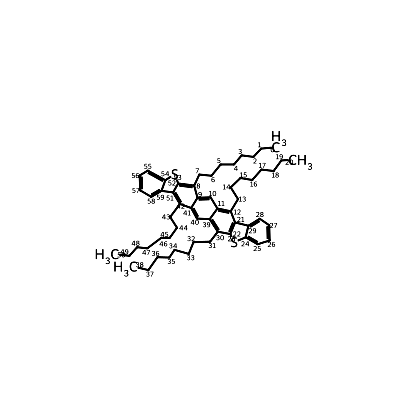 CCCCCCCCc1c2cc3c(CCCCCCCC)c4c(sc5ccccc54)c(CCCCCCCC)c3cc2c(CCCCCCCC)c2c1sc1ccccc12